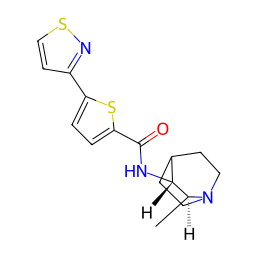 C[C@H]1[C@H](NC(=O)c2ccc(-c3ccsn3)s2)C2CCN1CC2